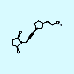 CCC[C@@H]1CCN(C#CCN2C(=O)CCC2=O)C1